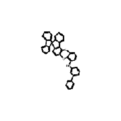 c1ccc(-c2cccc(Nc3cccc4c3Oc3ccc5c(c3O4)-c3ccccc3C53c4ccccc4-c4ccccc43)c2)cc1